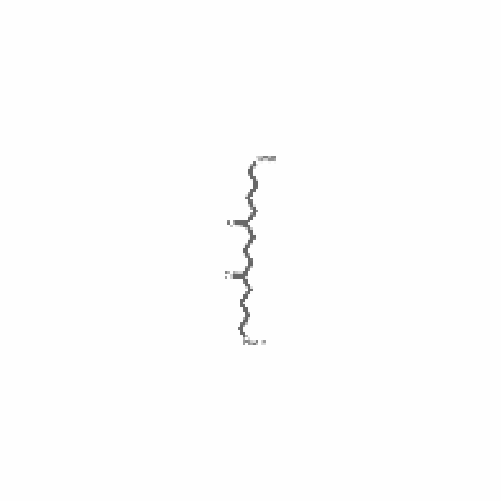 CNCCCCC(=O)CCCC(=O)CCCCNC